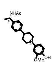 COc1cc(N2CCC(c3ccc([C@H](C)NC(C)=O)cc3)CC2)ccc1O